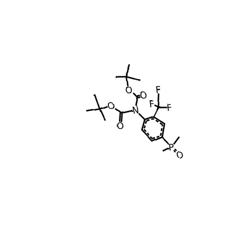 CC(C)(C)OC(=O)N(C(=O)OC(C)(C)C)c1ccc(P(C)(C)=O)cc1C(F)(F)F